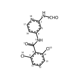 O=CNc1cc(NC(=O)c2c(Cl)cccc2Cl)ccn1